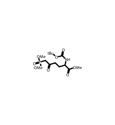 COC(=O)C(CCC(=O)CP(=O)(OC)OC)NC(=O)OC(C)(C)C